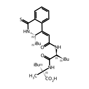 CC[C@H](C)[C@H](NC(=O)C=C1c2ccccc2C(=S)N[C@H]1[C@@H](C)CC)C(=O)N[C@](C)(C(=O)O)[C@@H](C)CC